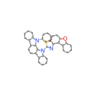 c1ccc(-n2c3ccccc3c3ccc4c5ccccc5n(-c5nc6c(ccc7oc8ccccc8c76)s5)c4c32)cc1